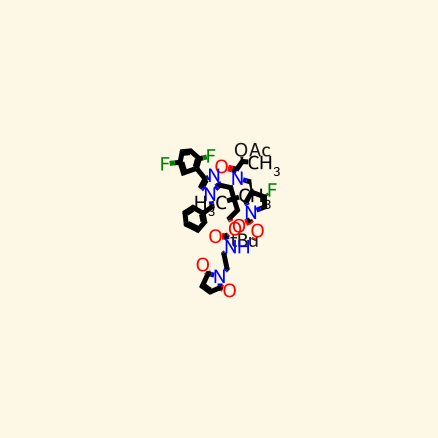 CC(=O)O[C@@H](C)C(=O)N(C[C@@H]1CN(C(=O)OC(C)(C)C)C[C@@H]1F)[C@@H](c1nc(-c2cc(F)ccc2F)cn1Cc1ccccc1)C(C)(C)CCOC(=O)NCCN1C(=O)C=CC1=O